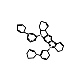 C1=CCC(c2cccc(N3c4cc5c(cc4C4C=CCCC43)c3c(n5C4C=C(C5C=CCCC5)C=CC4)CCC=C3)c2)C=C1